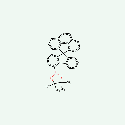 CC1(C)OB(c2cccc3c2-c2ccccc2C32c3cccc4ccc5cccc2c5c34)OC1(C)C